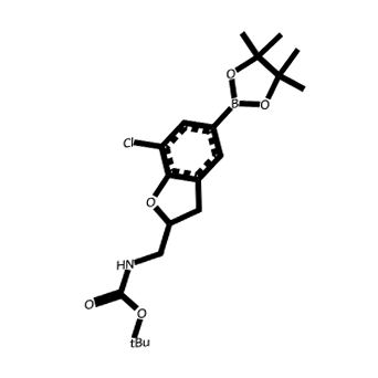 CC(C)(C)OC(=O)NCC1Cc2cc(B3OC(C)(C)C(C)(C)O3)cc(Cl)c2O1